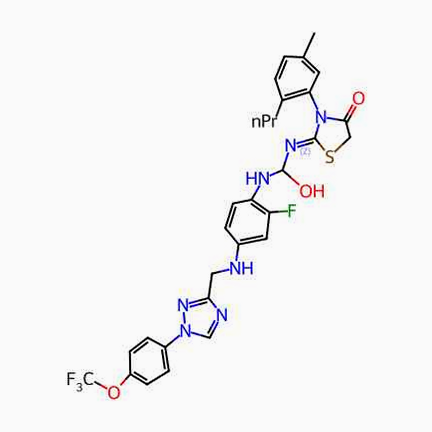 CCCc1ccc(C)cc1N1C(=O)CS/C1=N\C(O)Nc1ccc(NCc2ncn(-c3ccc(OC(F)(F)F)cc3)n2)cc1F